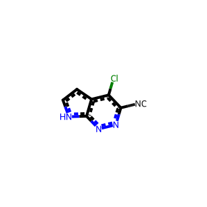 [C-]#[N+]c1nnc2[nH]ccc2c1Cl